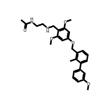 COc1cccc(-c2cccc(COc3cc(OC)c(CNCCNC(C)=O)c(OC)c3)c2C)c1